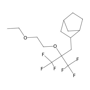 CCOCCOC(CC1CC2CCC1C2)(C(F)(F)F)C(F)(F)F